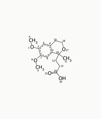 COc1cc2c(cc1OC)C(C)(CCC(=O)O)OCC2